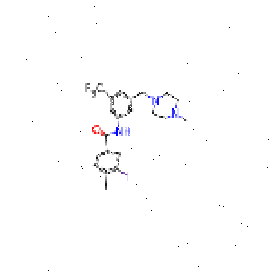 Cc1ccc(C(=O)Nc2cc(CN3CCN(C)CC3)cc(C(F)(F)F)c2)cc1I